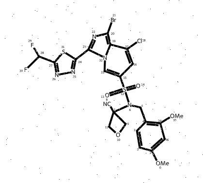 COc1ccc(CN(C2(C#N)COC2)S(=O)(=O)c2cc(Cl)c3c(Br)nc(-c4nnc(C(F)F)s4)n3c2)c(OC)c1